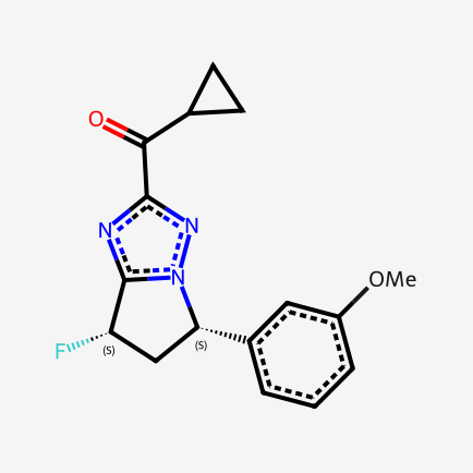 COc1cccc([C@@H]2C[C@H](F)c3nc(C(=O)C4CC4)nn32)c1